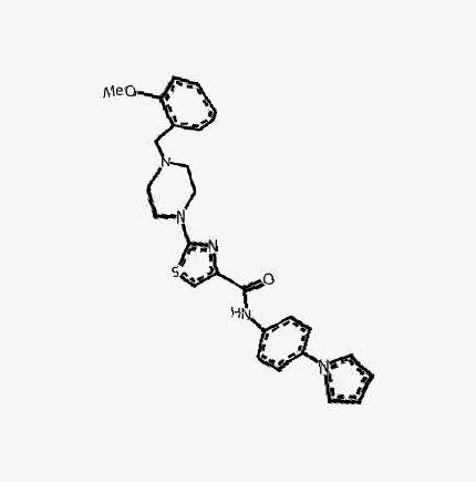 COc1ccccc1CN1CCN(c2nc(C(=O)Nc3ccc(-n4cccc4)cc3)cs2)CC1